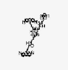 CN(C)c1ccc2cc3ccc(N(C)C)cc3[n+](CCCCCC(=O)NCCCCCNC(=O)C(CCCCNC(=O)CCCC(=O)OC3C(=O)CCC3=O)NC(=O)CCCCC[n+]3c4cc(N(C)C)ccc4cc4ccc(N(C)C)cc43)c2c1